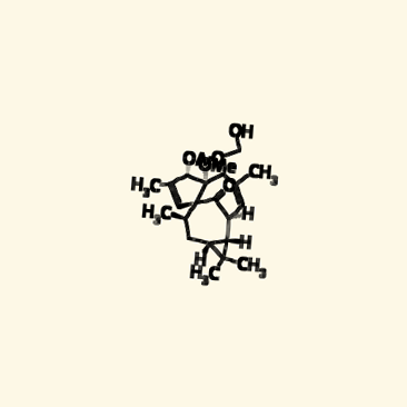 CO[C@]12[C@H](OCO)C(C)=C[C@@H]3C(=O)[C@]1(C=C(C)[C@@H]2OC(C)=O)[C@H](C)C[C@@H]1[C@H]3C1(C)C